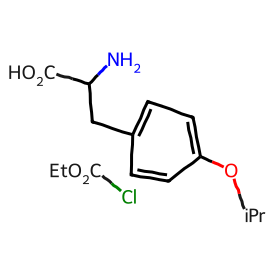 CC(C)Oc1ccc(CC(N)C(=O)O)cc1.CCOC(=O)Cl